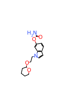 NC(=O)Oc1ccc2ccn(CCOC3CCCCO3)c2c1